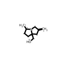 C=C1CN2C(C)CCC2(CO)C1